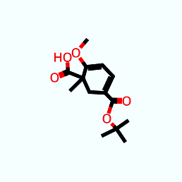 COC1=CC=C(C(=O)OC(C)(C)C)CC1(C)C(=O)O